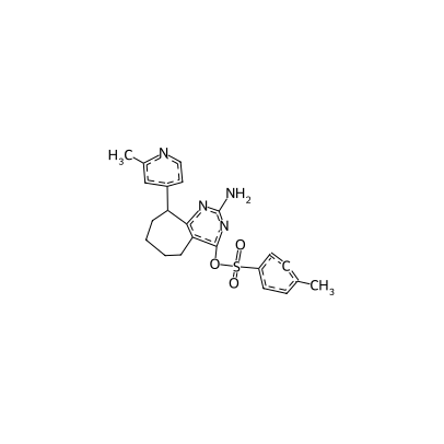 Cc1ccc(S(=O)(=O)Oc2nc(N)nc3c2CCCCC3c2ccnc(C)c2)cc1